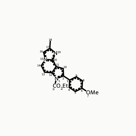 CCOC(=O)n1c(-c2ccc(OC)cc2)cc2c1ccn1cc(C)nc21